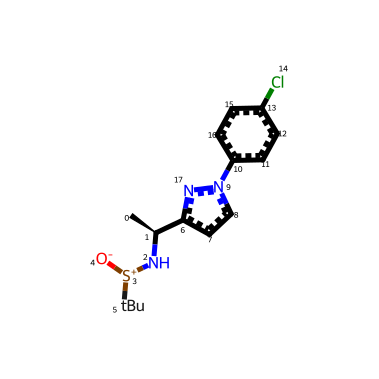 C[C@H](N[S+]([O-])C(C)(C)C)c1ccn(-c2ccc(Cl)cc2)n1